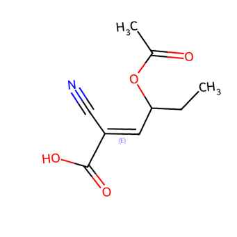 CCC(/C=C(\C#N)C(=O)O)OC(C)=O